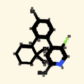 CCc1ccc(-c2cc(OC)ncc2F)c(C2=CCCCC2(C)C)c1